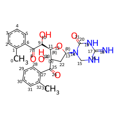 Cc1ccccc1C(=O)C(O)[C@H]1O[C@@H](N2CNC(=N)NC2=O)C[C@@]1(O)C(=O)c1ccccc1C